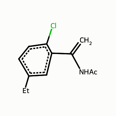 C=C(NC(C)=O)c1cc(CC)ccc1Cl